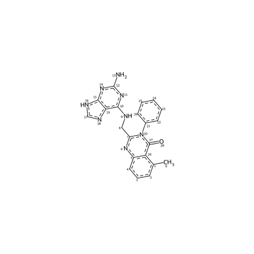 Cc1cccc2nc(CNc3nc(N)nc4[nH]cnc34)n(-c3ccccc3)c(=O)c12